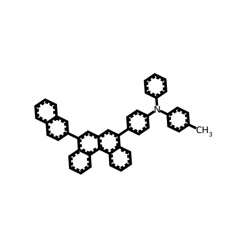 Cc1ccc(N(c2ccccc2)c2ccc(-c3cc4cc(-c5ccc6ccccc6c5)c5ccccc5c4c4ccccc34)cc2)cc1